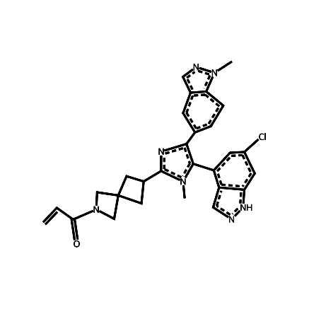 C=CC(=O)N1CC2(CC(c3nc(-c4ccc5c(cnn5C)c4)c(-c4cc(Cl)cc5[nH]ncc45)n3C)C2)C1